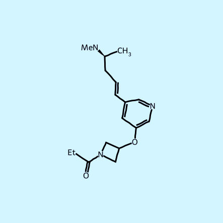 CCC(=O)N1CC(Oc2cncc(C=CC[C@H](C)NC)c2)C1